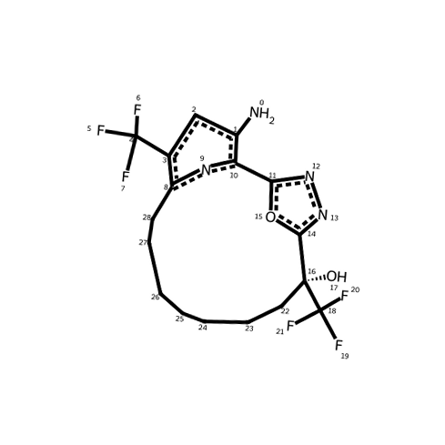 Nc1cc(C(F)(F)F)c2nc1-c1nnc(o1)[C@@](O)(C(F)(F)F)CCCCCCC2